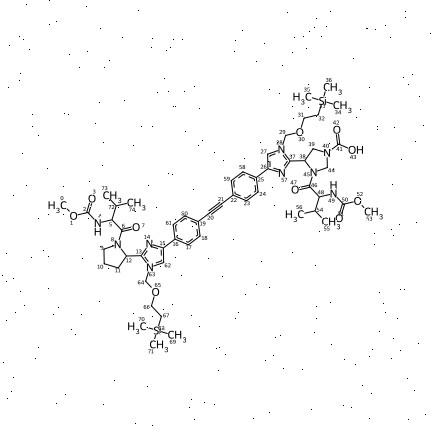 COC(=O)NC(C(=O)N1CCCC1c1nc(-c2ccc(C#Cc3ccc(-c4cn(COCC[Si](C)(C)C)c(C5CN(C(=O)O)CN5C(=O)C(NC(=O)OC)C(C)C)n4)cc3)cc2)cn1COCC[Si](C)(C)C)C(C)C